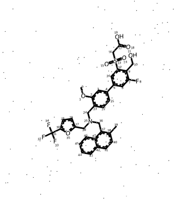 COc1cc(-c2cc(F)c(CO)c(S(=O)(=O)CC(=O)O)c2)ccc1CN(Cc1ccc(C(F)(F)F)o1)Cc1c(C)ccc2ccccc12